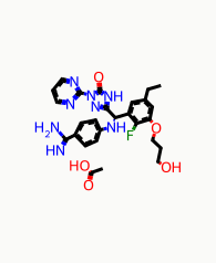 CC(=O)O.CCc1cc(OCCCO)c(F)c([C@H](Nc2ccc(C(=N)N)cc2)c2nn(-c3ncccn3)c(=O)[nH]2)c1